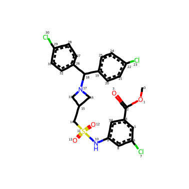 COC(=O)c1cc(Cl)cc(NS(=O)(=O)CC2CN(C(c3ccc(Cl)cc3)c3ccc(Cl)cc3)C2)c1